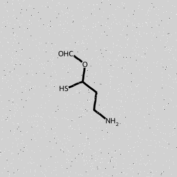 NCCC(S)OC=O